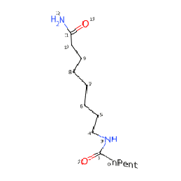 CCCCCC(=O)NCCCCCCCC(N)=O